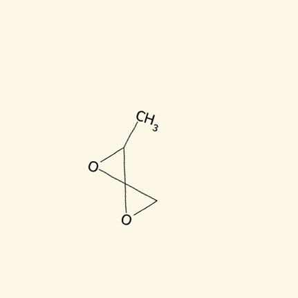 CC1OC12CO2